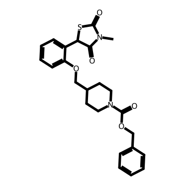 CN1C(=O)SC(c2ccccc2OCC2CCN(C(=O)OCc3ccccc3)CC2)C1=O